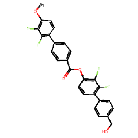 CCOc1ccc(-c2ccc(C(=O)Oc3ccc(-c4ccc(CO)cc4)c(F)c3F)cc2)c(F)c1F